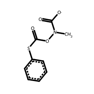 CN(OC(=O)Sc1ccccc1)C([O])=O